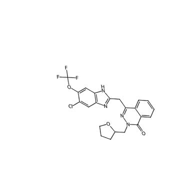 O=c1c2ccccc2c(Cc2nc3cc(Cl)c(OC(F)(F)F)cc3[nH]2)nn1CC1CCCO1